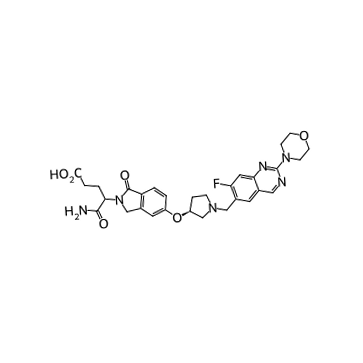 NC(=O)C(CCC(=O)O)N1Cc2cc(O[C@H]3CCN(Cc4cc5cnc(N6CCOCC6)nc5cc4F)C3)ccc2C1=O